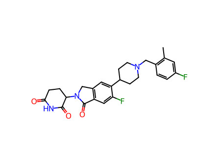 Cc1cc(F)ccc1CN1CCC(c2cc3c(cc2F)C(=O)N(C2CCC(=O)NC2=O)C3)CC1